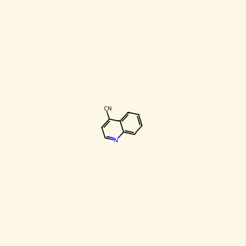 N#Cc1ccnc2cc[c]cc12